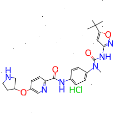 CN(C(=O)Nc1cc(C(C)(C)C)on1)c1ccc(NC(=O)c2ccc(OC3CCNC3)cn2)cc1.Cl